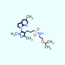 Cc1cnc2c(ccn2-c2c(CCCS(=O)(=O)NCCOC(C)C)c(C)nn2C)c1